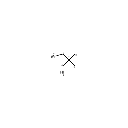 CC(C)CC(C)(C)C.I